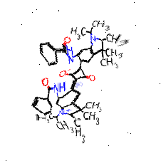 CC(C)N1c2cc(NC(=O)c3ccccc3)c(C3=C([O-])/C(=c4/cc5c(cc4NC(=O)c4ccccc4)=[N+](C(C)C)C(C)C5(C)C)C3=O)cc2C(C)(C)C1C